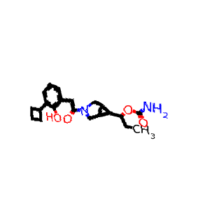 CCC(OC(N)=O)C1C2CN(C(=O)Cc3cccc(C4CCC4)c3O)CC21